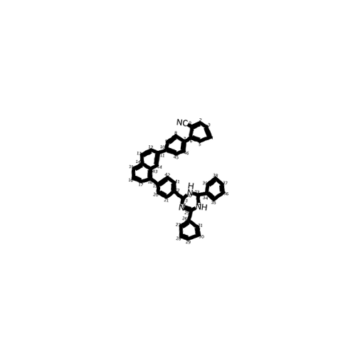 N#Cc1ccccc1-c1ccc(-c2ccc3cccc(-c4ccc(C5N=C(c6ccccc6)NC(c6ccccc6)N5)cc4)c3c2)cc1